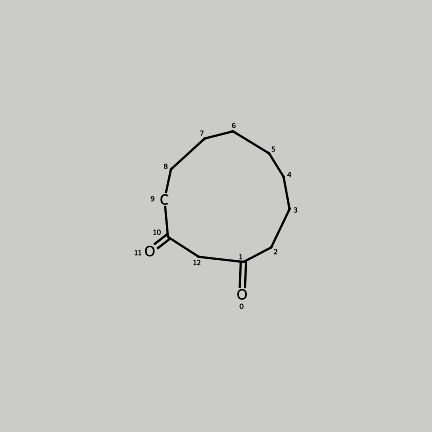 O=C1CCCCCCCCC(=O)C1